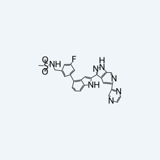 CS(=O)(=O)NCc1cc(F)cc(-c2cccc3[nH]c(-c4n[nH]c5cnc(-c6cnccn6)cc45)cc23)c1